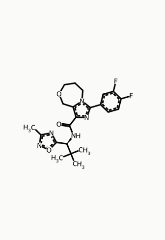 Cc1noc([C@@H](NC(=O)c2nc(-c3ccc(F)c(F)c3)n3c2COCCC3)C(C)(C)C)n1